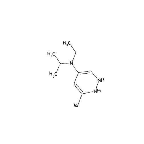 CCN(C1=CNNC(Br)=C1)C(C)C